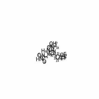 O=C1NC(=O)/C(=C/c2cnc3c(N(C(=O)O)C4CC4)nc(-c4cccc(OC(F)(F)F)c4)cn23)N1